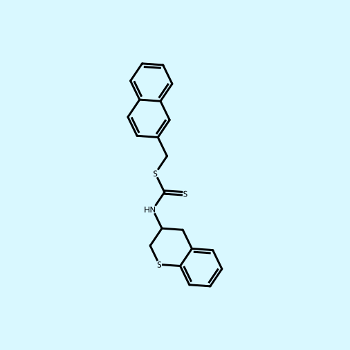 S=C(NC1CSc2ccccc2C1)SCc1ccc2ccccc2c1